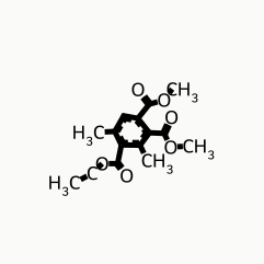 CCOC(=O)c1c(C)cc(C(=O)OC)c(C(=O)OC)c1C